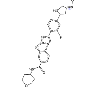 CO/N=C1\CNC(c2ccc(-c3cn4c(n3)sc3cc(C(=O)NC5CCOCC5)ccc34)c(F)c2)C1